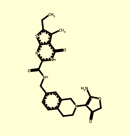 CCc1sc2nc(C(=O)NCc3ccc4c(c3)CN(C3=C(N)OCC3=O)CC4)[nH]c(=O)c2c1C